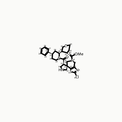 COC(=O)N1Cc2nc(Cl)sc2[C@@]2(CNC[C@H]2C(=O)N2CC[C@@H](c3ccccc3)C[C@H]2C2CCCCC2)C1